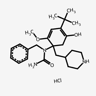 COC1=CC(C(C)(C)C)=C(O)CC1(CC1CCNCC1)N(Cc1ccccc1)C(N)=O.Cl